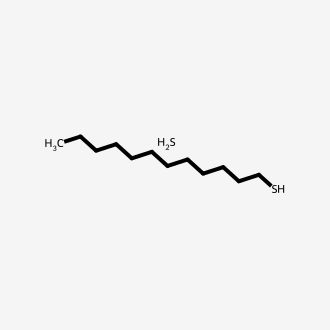 CCCCCCCCCCCCS.S